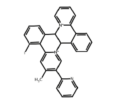 Cc1cc2[n+](cc1-c1ccccn1)C1c3ccccc3-c3cccc[n+]3C1c1cccc(I)c1-2